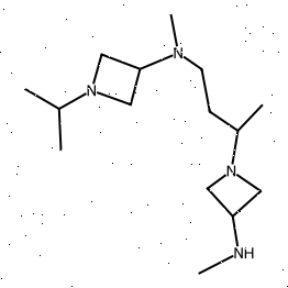 CNC1CN(C(C)CCN(C)C2CN(C(C)C)C2)C1